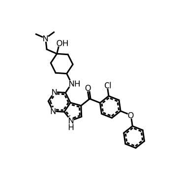 CN(C)CC1(O)CCC(Nc2ncnc3[nH]cc(C(=O)c4ccc(Oc5ccccc5)cc4Cl)c23)CC1